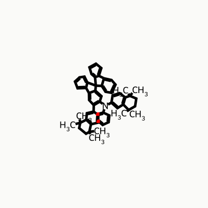 CC1(C)CCC(C)(C)c2cc(-c3cc4c(cc3N(c3ccccc3)c3ccc5c(c3)C(C)(C)CCC5(C)C)C3(c5ccccc5-c5ccccc53)c3ccccc3-4)ccc21